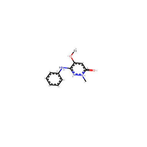 CCOc1cc(=O)n(C)nc1Nc1ccccc1